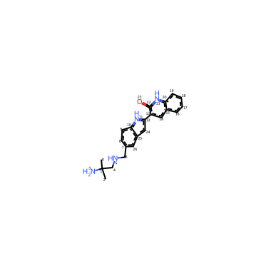 CC(C)(N)CNCc1ccc2[nH]c(-c3cc4ccccc4[nH]c3=O)cc2c1